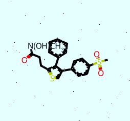 CN(O)C(=O)CCc1scc(-c2ccc(S(C)(=O)=O)cc2)c1-c1ccccc1